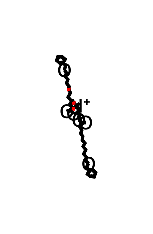 C[N+](C)(C)CC(COC(=O)CCCCCCCCCCCOCc1ccccc1)OC(=O)CCCCCCCCCCCOCc1ccccc1